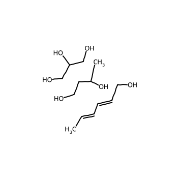 C/C=C/C=C/CO.CC(O)CCO.OCC(O)CO